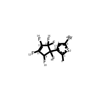 Cc1sc(Br)cc1C1(F)C(F)C(F)=C(F)C1(F)F